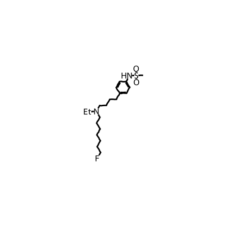 CCN(CCCCCCCF)CCCCc1ccc(NS(C)(=O)=O)cc1